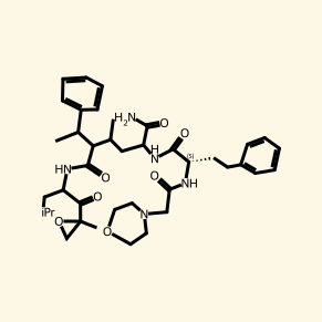 CC(C)CC(NC(=O)C(C(C)CC(NC(=O)[C@H](CCc1ccccc1)NC(=O)CN1CCOCC1)C(N)=O)C(C)c1ccccc1)C(=O)C1(C)CO1